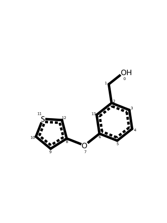 OCc1cccc(Oc2ccsc2)c1